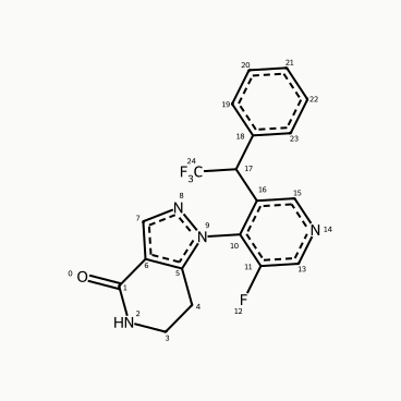 O=C1NCCc2c1cnn2-c1c(F)cncc1C(c1ccccc1)C(F)(F)F